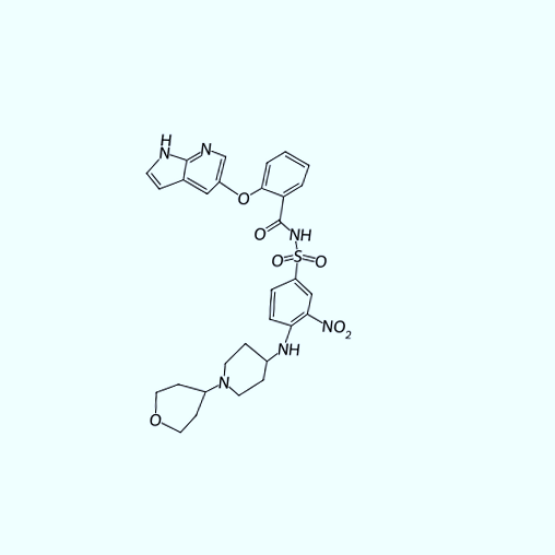 O=C(NS(=O)(=O)c1ccc(NC2CCN(C3CCOCC3)CC2)c([N+](=O)[O-])c1)c1ccccc1Oc1cnc2[nH]ccc2c1